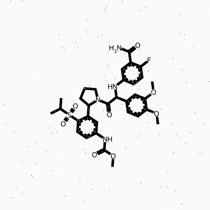 COC(=O)Nc1ccc(S(=O)(=O)C(C)C)c(C2CCCN2C(=O)C(Nc2ccc(F)c(C(N)=O)c2)c2ccc(OC)c(OC)c2)c1